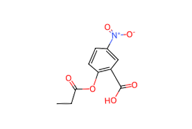 CCC(=O)Oc1ccc([N+](=O)[O-])cc1C(=O)O